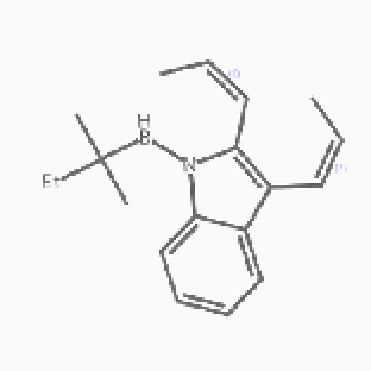 C/C=C\c1c(/C=C\C)n(BC(C)(C)CC)c2ccccc12